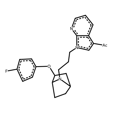 CC(=O)c1cn(CCCN2C3CCC2C(Oc2ccc(F)cc2)C3)c2ncccc12